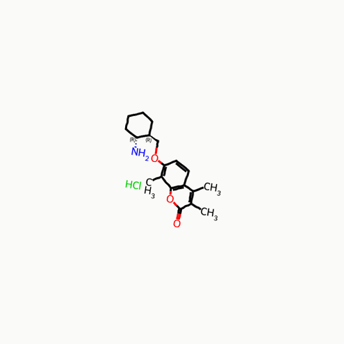 Cc1c(C)c2ccc(OC[C@@H]3CCCC[C@H]3N)c(C)c2oc1=O.Cl